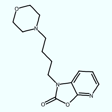 O=c1oc2ncccc2n1CCCCN1CCOCC1